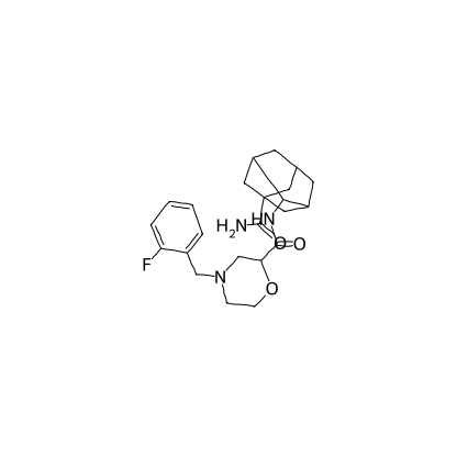 NC(=O)C12CC3CC(C1)C(NC(=O)C1CN(Cc4ccccc4F)CCO1)C(C3)C2